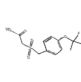 O=C(O)CS(=O)(=O)Cc1ccc(OC(F)(F)F)cc1